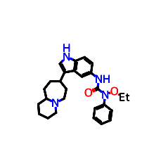 CCON(C(=O)Nc1ccc2[nH]cc(C3CCC4CCCCN4CC3)c2c1)c1ccccc1